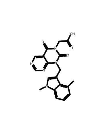 Cc1cccc2c1c(Cn1c(=O)n(CC(=O)O)c(=O)c3cncnc31)cn2C